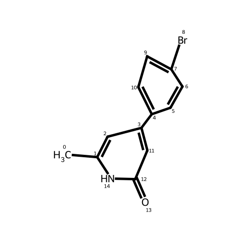 Cc1cc(-c2ccc(Br)cc2)cc(=O)[nH]1